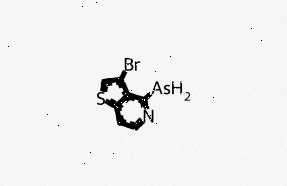 [AsH2]c1nccc2scc(Br)c12